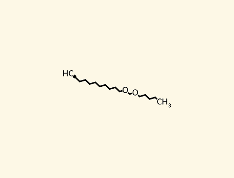 C#CCCCCCCCCCOCOCCCCC